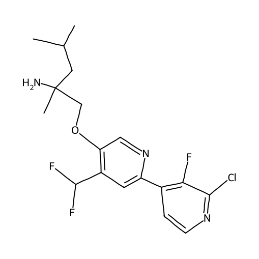 CC(C)CC(C)(N)COc1cnc(-c2ccnc(Cl)c2F)cc1C(F)F